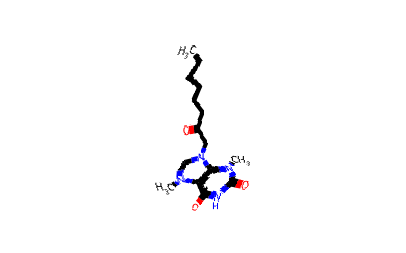 CCCCCCC(=O)CN1CN(C)c2c1n(C)c(=O)[nH]c2=O